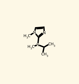 CC(C)N(C)c1nccn1C